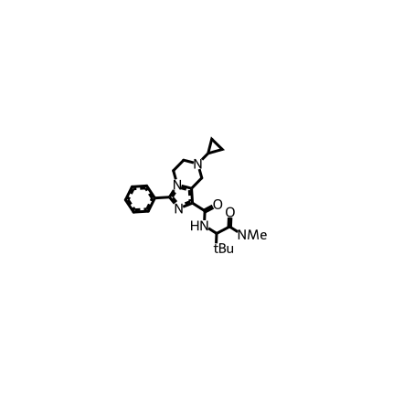 CNC(=O)C(NC(=O)c1nc(-c2ccccc2)n2c1CN(C1CC1)CC2)C(C)(C)C